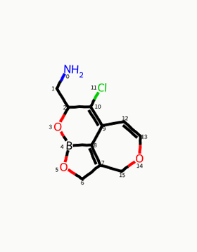 NCC1OB2OCC3=C2C(=C1Cl)C=COC3